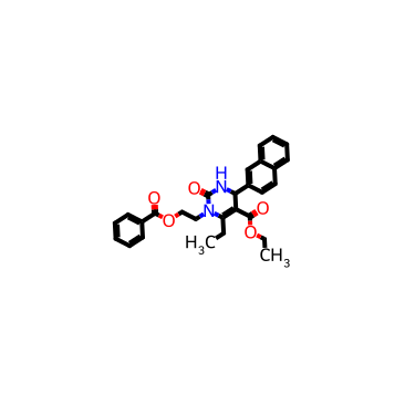 CCOC(=O)C1=C(CC)N(CCOC(=O)c2ccccc2)C(=O)NC1c1ccc2ccccc2c1